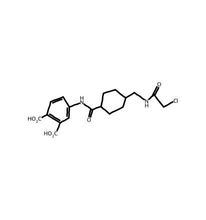 O=C(CCl)NCC1CCC(C(=O)Nc2ccc(C(=O)O)c(C(=O)O)c2)CC1